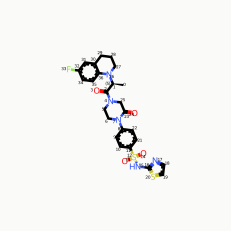 C[C@@H](C(=O)N1CCN(c2ccc(S(=O)(=O)Nc3nccs3)cc2)C(=O)C1)N1CCCc2cc(F)ccc21